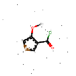 CCOc1cscc1C(=O)Cl